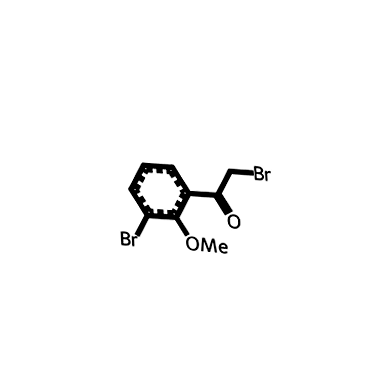 COc1c(Br)cccc1C(=O)CBr